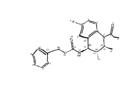 CC(=O)N1c2ccc(F)cc2[C@H](NC(=O)OCc2ccccc2)[C@@H](C)[C@@H]1C